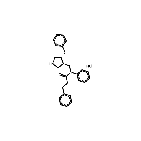 Cl.O=C(CCc1ccccc1)N(C[C@H]1CNC[C@@H]1Cc1ccccc1)c1ccccc1